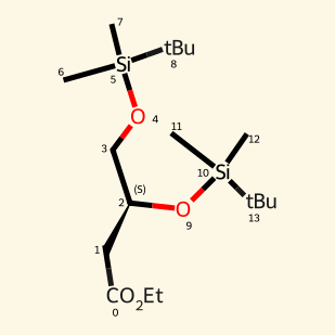 CCOC(=O)C[C@@H](CO[Si](C)(C)C(C)(C)C)O[Si](C)(C)C(C)(C)C